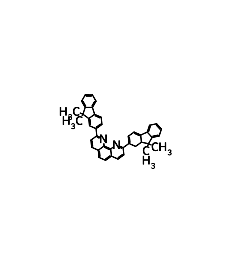 CC1(C)c2ccccc2-c2ccc(-c3ccc4ccc5ccc(C6=CC=C7c8ccccc8C(C)(C)C7C6)nc5c4n3)cc21